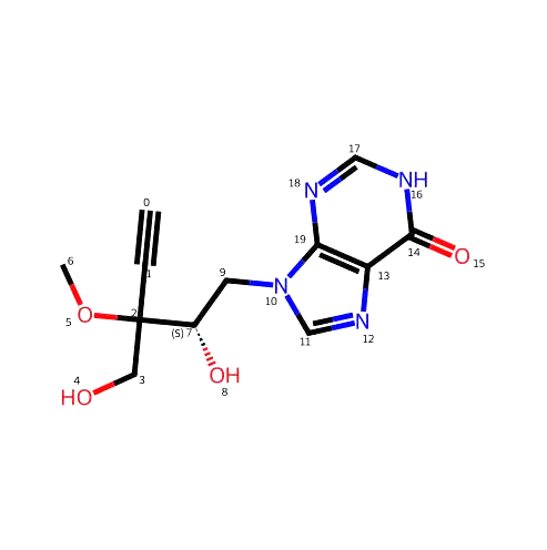 C#CC(CO)(OC)[C@@H](O)Cn1cnc2c(=O)[nH]cnc21